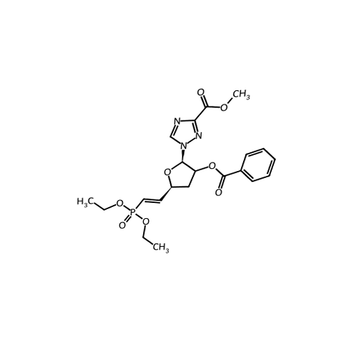 CCOP(=O)(/C=C/[C@@H]1CC(OC(=O)c2ccccc2)[C@H](n2cnc(C(=O)OC)n2)O1)OCC